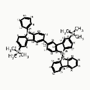 C[Si](C)(C)c1ccc2c(c1)c1cc(-c3ccc4c(c3)c3cc([Si](C)(C)C)ccc3n4-n3c4ccccc4c4ccccc43)ccc1n2-c1ccccc1